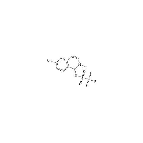 CN1C=Cc2cc(Br)ccc2C1OS(=O)(=O)C(F)(F)F